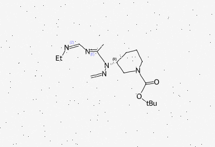 C=NN(/C(C)=N/C=N\CC)[C@@H]1CCCN(C(=O)OC(C)(C)C)C1